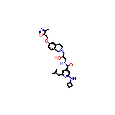 Cc1ncoc1COc1ccc2c(c1)CCN(CC(O)CNC(=O)c1cc(CC(C)C)nc(NC3CCC3)c1)C2